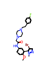 COc1ccc(NC(=O)CN2CCN(CCc3ccc(F)cc3)CC2)cc1-c1c(Br)cnn1C